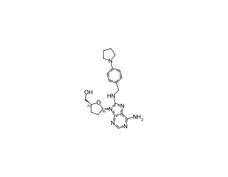 Nc1ncnc2c1nc(NCc1ccc(N3CCCC3)cc1)n2[C@H]1CC[C@@H](CO)O1